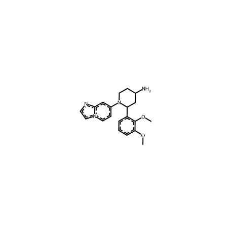 COc1cccc(C2CC(N)CCN2c2ccn3ccnc3c2)c1OC